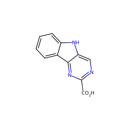 O=C(O)c1ncc2[nH]c3ccccc3c2n1